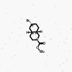 CC(C)(C)OC(=O)N1CC[C@@H]2C[C@H](Br)CC[C@@H]2C1